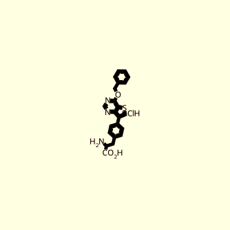 Cl.NC(Cc1ccc(-c2csc3c(OCc4ccccc4)ncnc23)cc1)C(=O)O